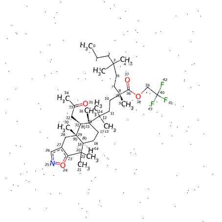 CCCC(C)(C)CC[C@@](C)(CCC(C)(C)[C@]1(C)CC[C@H]2C(C)(C)c3oncc3C[C@]2(C)[C@H]1CC(C)=O)C(=O)OCC(F)(F)F